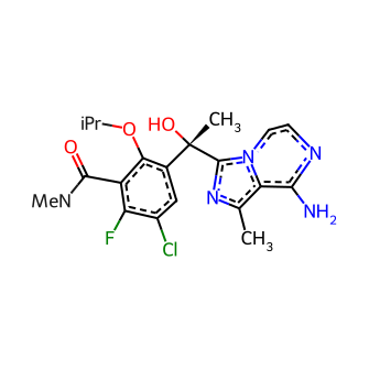 CNC(=O)c1c(F)c(Cl)cc([C@](C)(O)c2nc(C)c3c(N)nccn23)c1OC(C)C